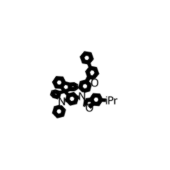 CC(C)c1ccc2c(N(c3ccc4c(c3)C3(c5ccccc5-c5ccccc53)c3ccccc3N4c3ccccc3)c3ccc4c(c3)oc3ccc(-c5ccccc5)cc34)coc2c1